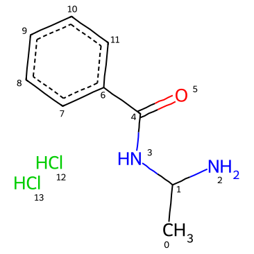 CC(N)NC(=O)c1ccccc1.Cl.Cl